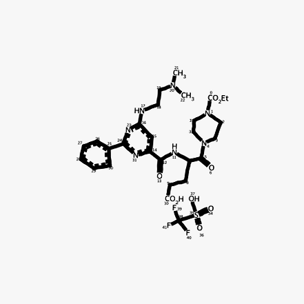 CCOC(=O)N1CCN(C(=O)C(CCC(=O)O)NC(=O)c2cc(NCCN(C)C)nc(-c3ccccc3)n2)CC1.O=S(=O)(O)C(F)(F)F